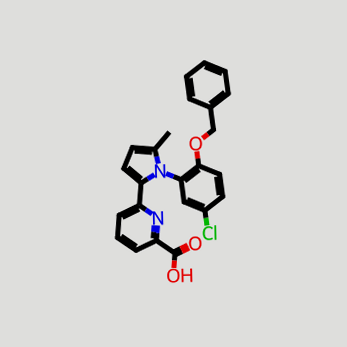 Cc1ccc(-c2cccc(C(=O)O)n2)n1-c1cc(Cl)ccc1OCc1ccccc1